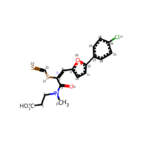 CN(CCC(=O)O)C(=O)/C(=C\c1ccc(-c2ccc(Cl)cc2)o1)SC=S